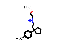 COCCNCCC1(c2ccc(C)cc2)CCCC1